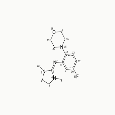 CN1CCN(C)C1=Nc1cc(F)ccc1N1CCOCC1